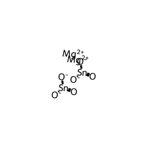 [Mg+2].[Mg+2].[O]=[Sn]([O-])[O-].[O]=[Sn]([O-])[O-]